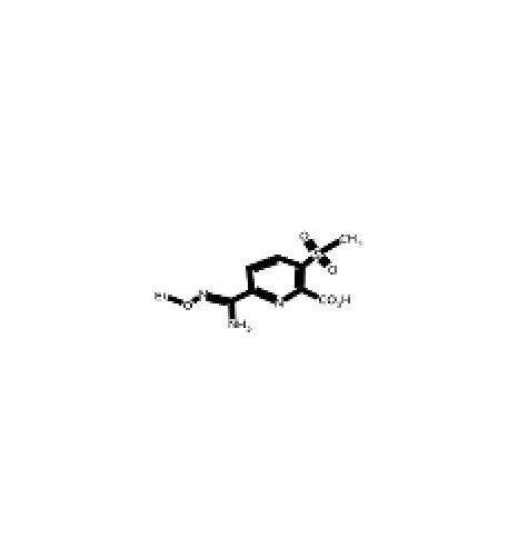 CCO/N=C(\N)c1ccc(S(C)(=O)=O)c(C(=O)O)n1